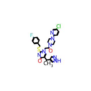 CC(c1cn[nH]c1)c1cn(CC(=O)N2CCN(c3ccc(Cl)cn3)CC2)c(SCc2ccc(F)cc2)nc1=O